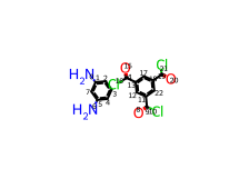 Nc1cccc(N)c1.O=C(Cl)c1cc(C(=O)Cl)cc(C(=O)Cl)c1